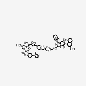 CCc1cccc2cc(O)cc(-c3ncc4c(N5CC6CCC(C5)N6)nc(OCCN5CCC(F)(CN6CCN(c7cc([C@@H](C(=O)N8C[C@H](O)C[C@H]8C(=O)N[C@@H](C)c8ccc(-c9ccnn9C)cc8)C(C)C)on7)CC6)CC5)nc4c3F)c12